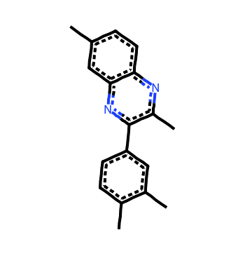 Cc1ccc2nc(C)c(-c3ccc(C)c(C)c3)nc2c1